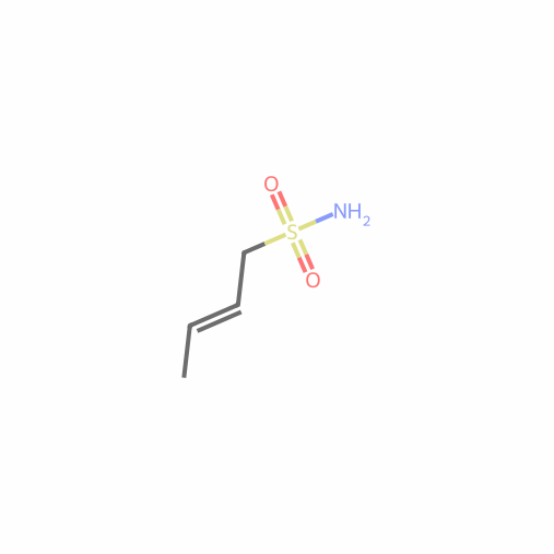 CC=CCS(N)(=O)=O